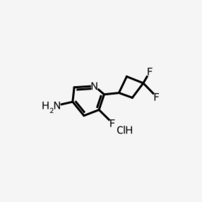 Cl.Nc1cnc(C2CC(F)(F)C2)c(F)c1